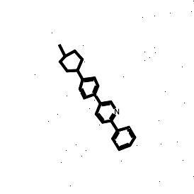 CC1CCC(c2ccc(-c3ccc(-c4ccccc4)nc3)cc2)CC1